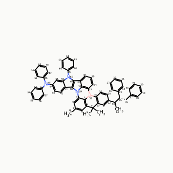 Cc1cc2c3c(c1)C(C)(C)c1cc(C(C)[C@@H](Cc4ccccc4)c4ccccc4)ccc1B3c1cccc3c1n-2c1c2ccc(N(c4ccccc4)c4ccccc4)cc2n(-c2ccccc2)c31